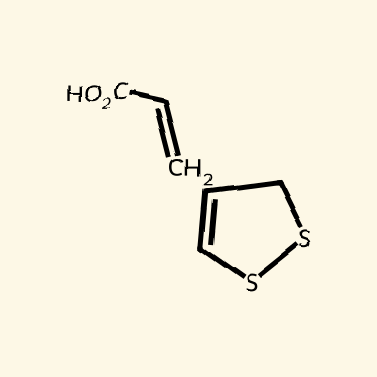 C1=CSSC1.C=CC(=O)O